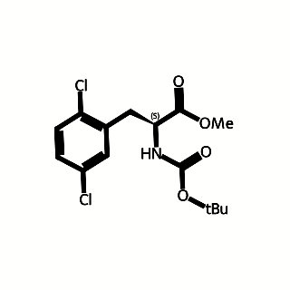 COC(=O)[C@H](Cc1cc(Cl)ccc1Cl)NC(=O)OC(C)(C)C